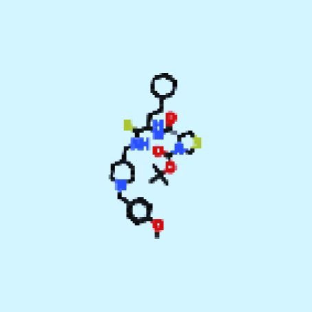 COc1ccc(CN2CCC(CNC(=S)[C@@H](CCC3CCCCC3)NC(=O)[C@@H]3CSCN3C(=O)OC(C)(C)C)CC2)cc1